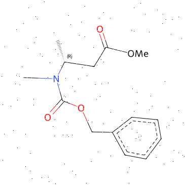 COC(=O)C[C@@H](C)N(C)C(=O)OCc1ccccc1